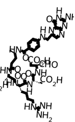 C[C@H](CCC(=O)N[C@@H](CC(=O)O)C(=O)N[C@@H](CCCCNC(=N)N)C(=O)N[C@@H](CC(=O)O)C(=O)N[C@H](C=O)CC(=O)O)NC(=O)c1ccc(NCc2cnc3nc(N)[nH]c(=O)c3n2)cc1